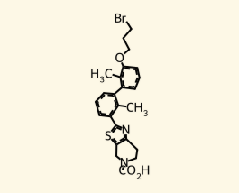 Cc1c(OCCCBr)cccc1-c1cccc(-c2nc3c(s2)CN(C(=O)O)CC3)c1C